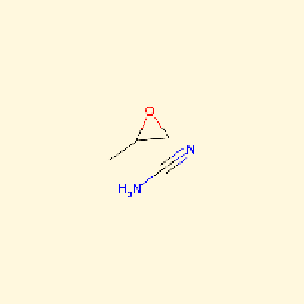 CC1CO1.N#CN